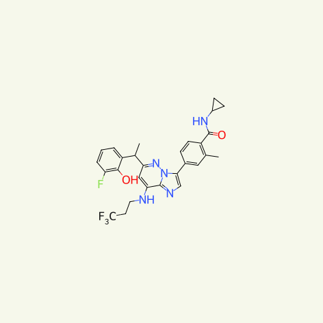 Cc1cc(-c2cnc3c(NCCC(F)(F)F)cc(C(C)c4cccc(F)c4O)nn23)ccc1C(=O)NC1CC1